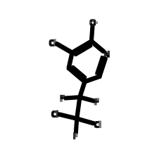 [O]c1ncc(C(F)(F)C(F)(Cl)Cl)cc1Cl